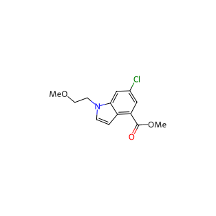 COCCn1ccc2c(C(=O)OC)cc(Cl)cc21